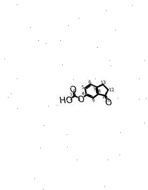 O=C(O)Oc1ccc2c(c1)C(=O)CC2